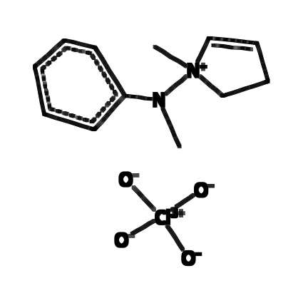 CN(c1ccccc1)[N+]1(C)C=CCC1.[O-][Cl+3]([O-])([O-])[O-]